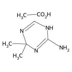 CC(=O)O.CC1(C)N=CNC(N)=N1